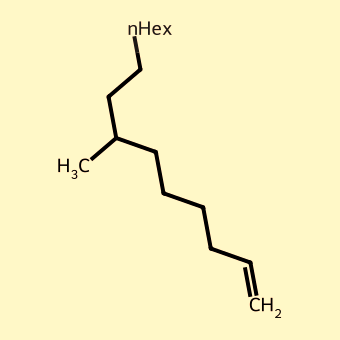 C=CCCCCC(C)CCCCCCCC